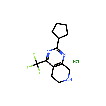 Cl.FC(F)(F)c1nc(C2CCCC2)nc2c1CCNC2